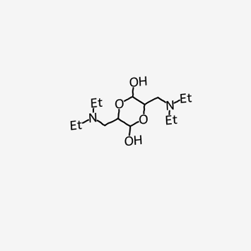 CCN(CC)CC1OC(O)C(CN(CC)CC)OC1O